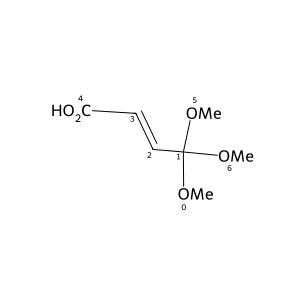 COC(C=CC(=O)O)(OC)OC